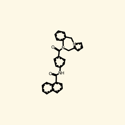 O=C(Nc1ccc(C(=O)N2Cc3cccn3Cc3ccccc32)cc1)c1cccc2ccccc12